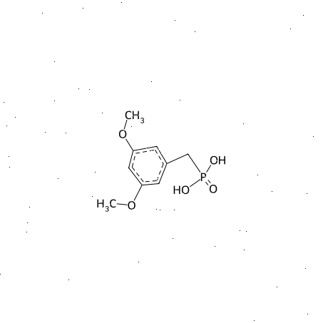 COc1cc(CP(=O)(O)O)cc(OC)c1